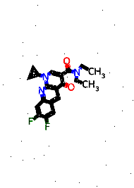 CCN(CC)C(=O)c1cn(C2CC2)c2nc3cc(F)c(F)cc3cc2c1=O